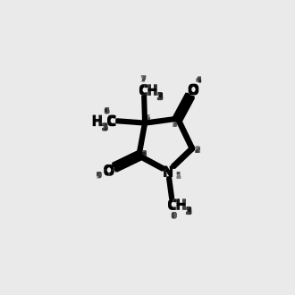 CN1CC(=O)C(C)(C)C1=O